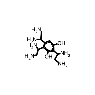 NCC(N)c1cc(O)c(C(N)CN)c(O)c1C(N)CN